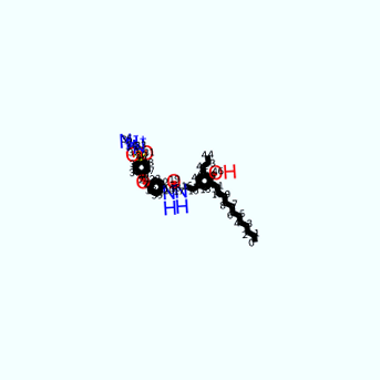 CCCCCCCCCCCCc1cc(CCNC(=O)Nc2ccc(Oc3ccc(S(=O)(=O)N=[N+]=[N-])cc3)cc2)cc(CCC)c1O